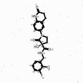 O=C1CCc2cc(N3CC[C@](O)(C(=O)NCc4cccc(F)c4Cl)C3=O)ccc2N1